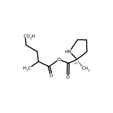 CC(CCC(=O)O)C(=O)OC(=O)[C@]1(C)CCCN1